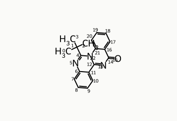 CC(C)(C)c1nc2ccccc2c2nc(=O)c3ccccc3n12